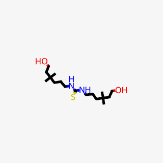 CC(C)(CCO)CCCNC(=S)NCCCC(C)(C)CCO